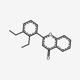 CCc1[c]ccc(-c2cc(=O)c3ccccc3o2)c1CC